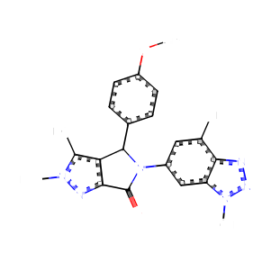 CCCOc1ccc(C2c3c(nn(C)c3C)C(=O)N2c2cc(C)c3nnn(C)c3c2)cc1